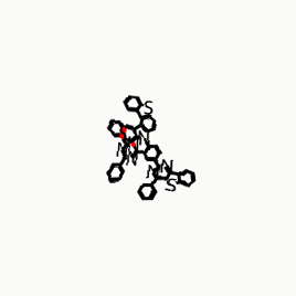 c1ccc(-c2nc(-c3ccccc3)nc(-c3cc(-c4nc(-c5ccccc5)c5sc6ccccc6c5n4)ccc3-n3c4ccccc4c4c5c(ccc43)sc3ccccc35)n2)cc1